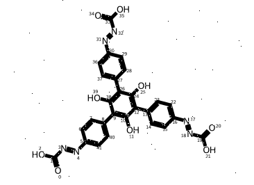 O=C(O)N=Nc1ccc(-c2c(O)c(-c3ccc(N=NC(=O)O)cc3)c(O)c(-c3ccc(N=NC(=O)O)cc3)c2O)cc1